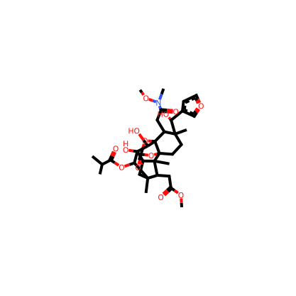 COC(=O)CC1C2(C)CC34OC5(C)OC6(C(CC(=O)N(C)OC)C(C)(C(O)c7ccoc7)CCC6(O5)C13C)C(O)C4(O)C2OC(=O)C(C)C